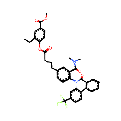 CCc1cc(C(=O)OC)ccc1OC(=O)CCCc1ccc(NC(=O)c2ccccc2-c2ccc(C(F)(F)F)cc2)c(C(=O)N(C)C)c1